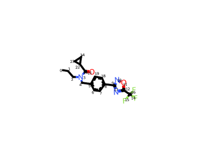 CCCN(Cc1ccc(-c2noc(C(F)(F)F)n2)cc1)C(=O)C1CC1